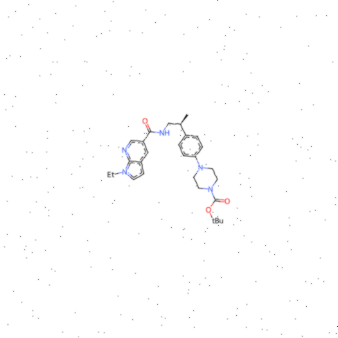 CCn1ccc2cc(C(=O)NC[C@@H](C)c3ccc(N4CCN(C(=O)OC(C)(C)C)CC4)cc3)cnc21